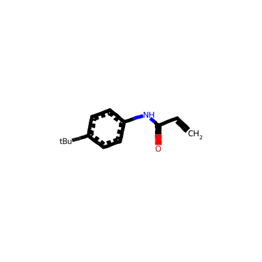 C=CC(=O)Nc1ccc(C(C)(C)C)cc1